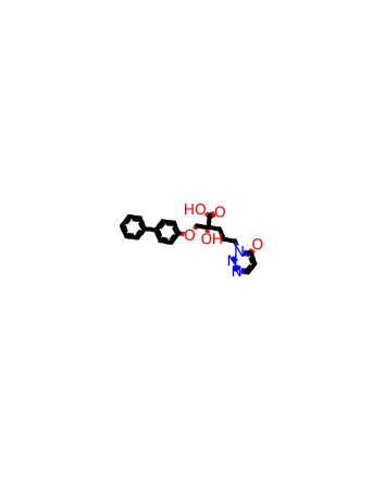 O=C(O)C(O)(CCCn1nnccc1=O)COc1ccc(-c2ccccc2)cc1